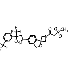 CS(=O)(=O)CC(=O)N1CC2(C1)OCc1cc(C3=NOC(c4cccc(C(F)(F)F)c4)(C(F)(F)F)C3)ccc12